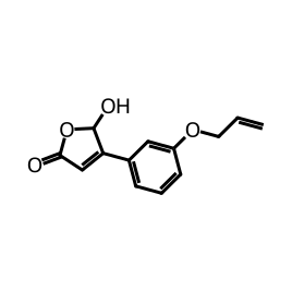 C=CCOc1cccc(C2=CC(=O)OC2O)c1